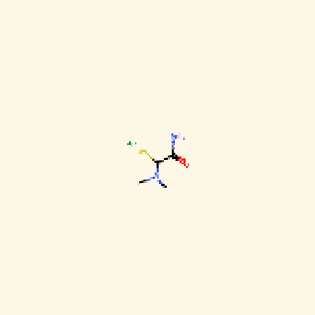 CN(C)C(S)C(N)=O.Cl